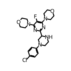 Fc1c(N2CCOCC2)nc(C2CN(c3ccc(Cl)cc3)CCN2)nc1N1CCOCC1